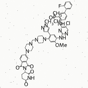 COc1cc(N2CCN(CN3CCN(c4ccc5c(c4)C(=O)N(C4CCC(=O)NC4=O)C5=O)CC3)CC2)c(-c2cnn(C)c2)cc1Nc1ncc(Cl)c(Nc2ccc(-c3ccccc3F)cc2P(C)(C)=O)n1